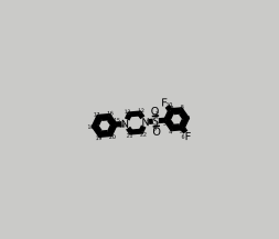 O=S(=O)(c1cc(F)ccc1F)N1CCN(c2ccccc2)CC1